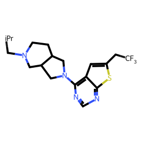 CC(C)CN1CCC2CN(c3ncnc4sc(CC(F)(F)F)cc34)CC2C1